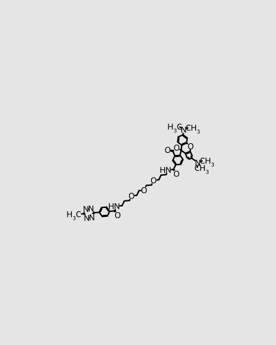 Cc1nnc(-c2ccc(C(=O)NCCCOCCOCCOCCCNC(=O)c3ccc4c(c3)C(=O)OC43c4ccc(N(C)C)cc4Oc4cc(N(C)C)ccc43)cc2)nn1